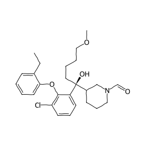 CCc1ccccc1Oc1c(Cl)cccc1[C@](O)(CCCCOC)C1CCCN(C=O)C1